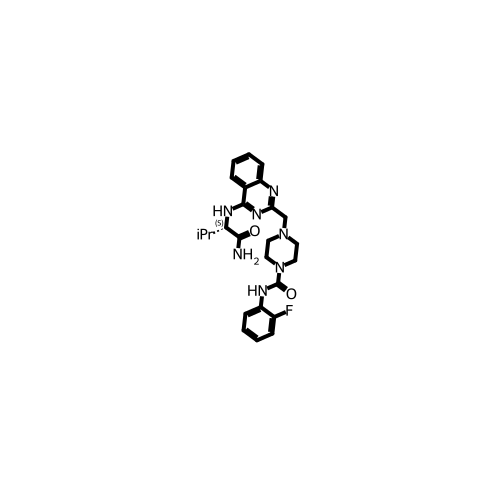 CC(C)[C@H](Nc1nc(CN2CCN(C(=O)Nc3ccccc3F)CC2)nc2ccccc12)C(N)=O